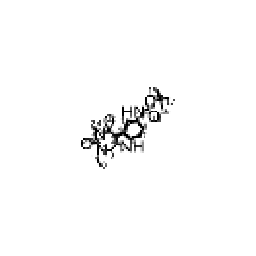 CCN1Cc2[nH]c3ccc(NC(=O)OC(C)(C)C)cc3c2C(=O)N(C)C1=O